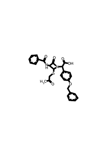 CC(=O)CSC1C(NC(=O)c2ccccc2)C(=O)N1C(C(=O)O)c1ccc(OCc2ccccc2)cc1